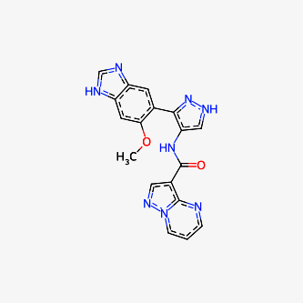 COc1cc2[nH]cnc2cc1-c1n[nH]cc1NC(=O)c1cnn2cccnc12